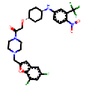 O=C(CO[C@H]1CC[C@H](Nc2ccc([N+](=O)[O-])c(C(F)(F)F)c2)CC1)N1CCN(Cc2cc3cc(F)cc(F)c3o2)CC1